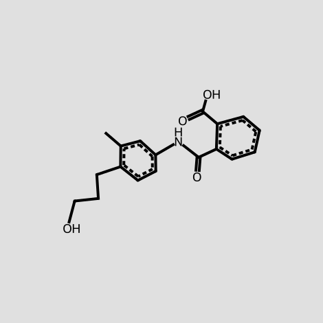 Cc1cc(NC(=O)c2ccccc2C(=O)O)ccc1CCCO